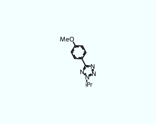 COc1ccc(-c2nnn(C(C)C)n2)cc1